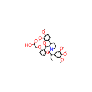 CC[C@H](C(=O)N1CCCC(c2ccc(OC)c(OC)c2)C1C(=O)c1ccccc1OCC(=O)O)c1cc(OC)c(OC)c(OC)c1